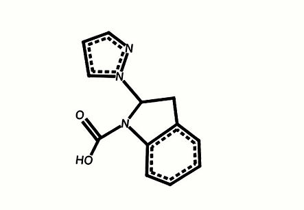 O=C(O)N1c2ccccc2CC1n1cccn1